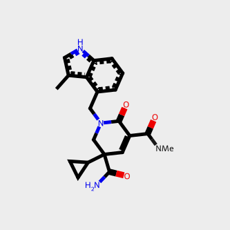 CNC(=O)C1=CC(C(N)=O)(C2CC2)CN(Cc2cccc3[nH]cc(C)c23)C1=O